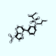 CCCN(c1cccc(-c2ccnc3c([N+](=O)[O-])cnn23)c1)S(=O)(=O)C(C)C